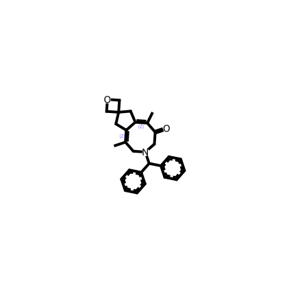 C/C1=C2\CC3(COC3)C\C2=C(/C)C(=O)CN(C(c2ccccc2)c2ccccc2)C1